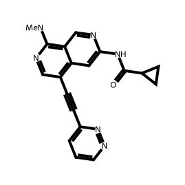 CNc1ncc(C#Cc2cccnn2)c2cc(NC(=O)C3CC3)ncc12